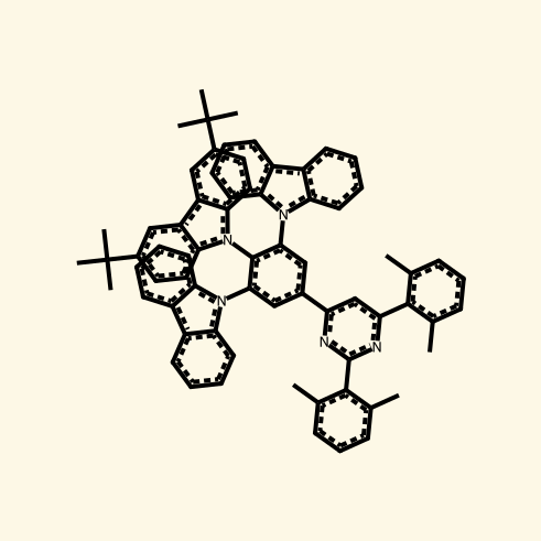 Cc1cccc(C)c1-c1cc(-c2cc(-n3c4ccccc4c4ccccc43)c(-n3c4ccc(C(C)(C)C)cc4c4cc(C(C)(C)C)ccc43)c(-n3c4ccccc4c4ccccc43)c2)nc(-c2c(C)cccc2C)n1